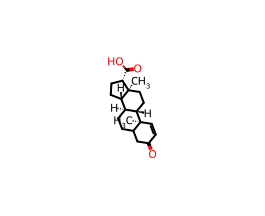 C[C@]12CC[C@H]3[C@@H](CCC4CC(=O)C=C[C@@]43C)[C@@H]1CC[C@@H]2C(=O)O